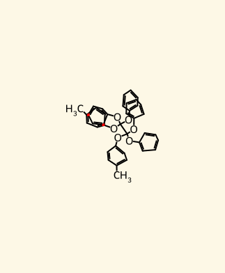 Cc1ccc(OC(Oc2ccccc2)(Oc2ccccc2)C(Oc2ccccc2)(Oc2ccccc2)Oc2ccc(C)cc2)cc1